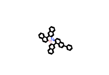 c1ccc(-c2ccc3c4c(ccc3c2)N2B(c3cc5ccccc5cc3-4)c3ccc4ccccc4c3-c3cc4ccccc4cc32)cc1